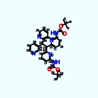 CC(C)(C)OC(=O)Nc1cccc(C(c2cccc(NC(=O)OC(C)(C)C)n2)C(c2cccnc2)c2ccccn2)n1